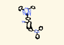 N#Cc1cc2ccc(-c3nc(-c4ccccc4)nc(-c4ccccc4)n3)cc2cc1-c1ccc(-c2nc(-c3ccccc3)nc(-c3ccccc3)n2)cc1